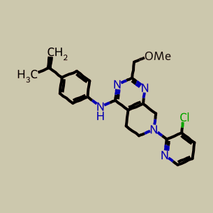 C=C(C)c1ccc(Nc2nc(COC)nc3c2CCN(c2ncccc2Cl)C3)cc1